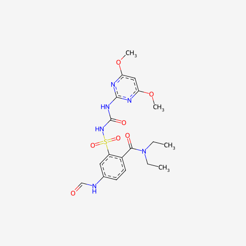 CCN(CC)C(=O)c1ccc(NC=O)cc1S(=O)(=O)NC(=O)Nc1nc(OC)cc(OC)n1